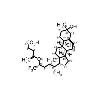 C=C(CCC(=O)O)O[C@H](CC[C@@H](C)[C@H]1CC[C@H]2[C@@H]3CC=C4C[C@@](C)(O)CC[C@]4(C)[C@H]3CC[C@]12C)C(F)(F)F